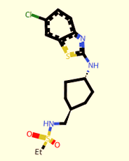 CCS(=O)(=O)NC[C@H]1CC[C@H](Nc2nc3ccc(Cl)cc3s2)CC1